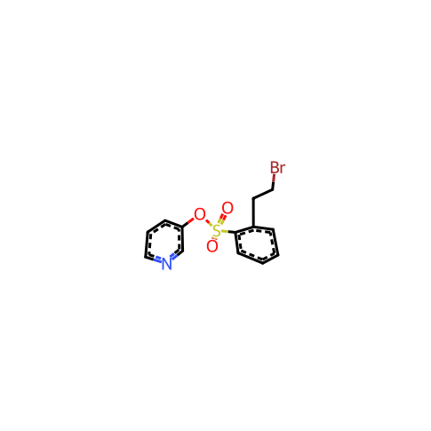 O=S(=O)(Oc1cccnc1)c1ccccc1CCBr